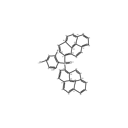 O=P(c1c(F)cc(F)cc1F)(c1ccc2ccc3cccc4ccc1c2c34)c1ccc2ccc3cccc4ccc1c2c34